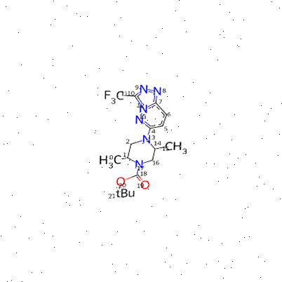 CC1CN(c2ccc3nnc(C(F)(F)F)n3n2)C(C)CN1C(=O)OC(C)(C)C